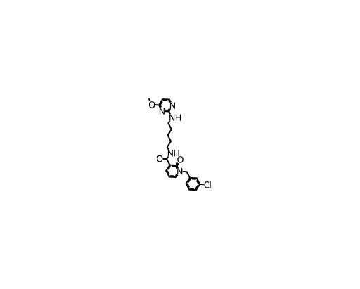 COc1ccnc(NCCCCCNC(=O)c2cccn(Cc3cccc(Cl)c3)c2=O)n1